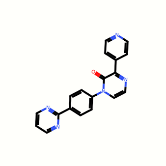 O=c1c(-c2ccncc2)nccn1-c1ccc(-c2ncccn2)cc1